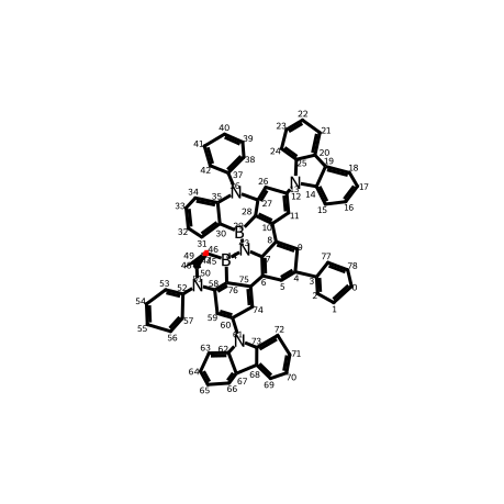 c1ccc(-c2cc3c4c(c2)-c2cc(-n5c6ccccc6c6ccccc65)cc5c2B(c2ccccc2N5c2ccccc2)N4B2c4ccccc4N(c4ccccc4)c4cc(-n5c6ccccc6c6ccccc65)cc-3c42)cc1